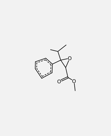 COC(=O)C1OC1(c1ccccc1)C(C)C